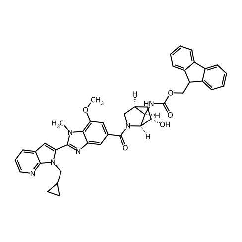 COc1cc(C(=O)N2C[C@H]3C[C@H](O)[C@@H]2[C@@H]3NC(=O)OCC2c3ccccc3-c3ccccc32)cc2nc(-c3cc4cccnc4n3CC3CC3)n(C)c12